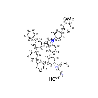 C#C/C=C\C=C(/C)c1cc(-c2ccccc2)cc(-c2ccc3c(c2)c(-c2cc(-c4ccccc4)cc(-c4ccccc4)c2)cn3-c2ccc(-c3cccc(OC)c3)cc2)c1